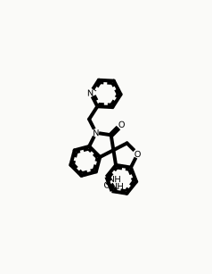 O=C1N(Cc2ccccn2)c2ccccc2C12COc1ccc3c(c12)NON3